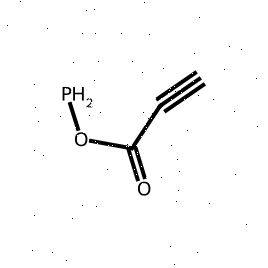 C#CC(=O)OP